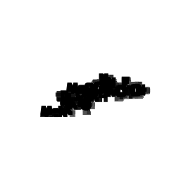 CNC(C)C(=O)NC(C(=O)N1CCCC1C(=O)Nc1cc2c(Nc3ccc(N4CCN(C)CC4)c(F)c3)ncnc2cc1OC)C(C)(C)C